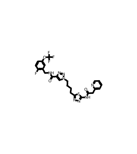 O=C(Cc1ccccn1)Nc1nnc(CCCCn2cc(C(=O)NCc3cc(OC(F)(F)F)ccc3F)nn2)s1